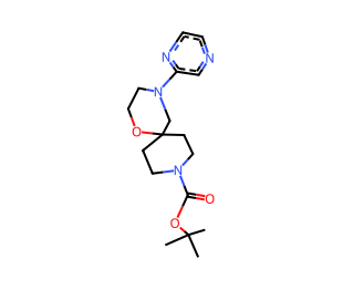 CC(C)(C)OC(=O)N1CCC2(CC1)CN(c1cnccn1)CCO2